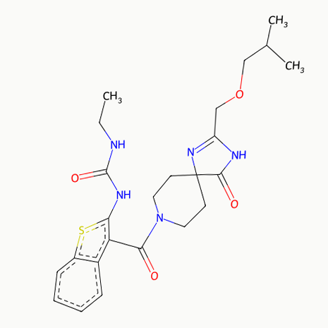 CCNC(=O)Nc1sc2ccccc2c1C(=O)N1CCC2(CC1)N=C(COCC(C)C)NC2=O